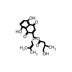 CC(C)=CC[C@@H](OC(=O)CC(C)CO)C1=CC(=O)c2c(O)ccc(O)c2C1=O